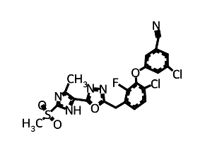 Cc1nc(S(C)(=O)=O)[nH]c1-c1nnc(Cc2ccc(Cl)c(Oc3cc(Cl)cc(C#N)c3)c2F)o1